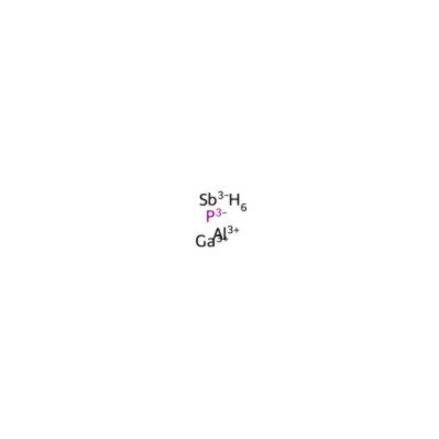 [Al+3].[Ga+3].[P-3].[SbH6-3]